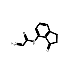 C=CC(=O)Nc1cccc2c1C(=O)CC2